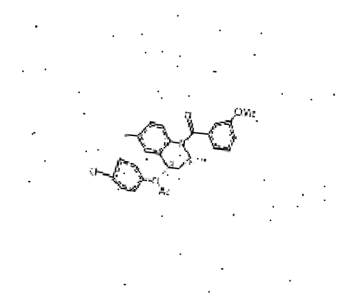 COc1cccc(C(=O)N2c3ccc(C)cc3[C@@H](N(C(C)=O)c3ccc(Cl)cc3)C[C@H]2C)c1